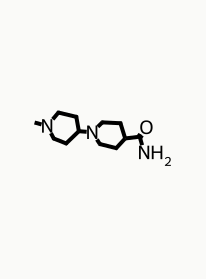 CN1CCC(N2CCC(C(N)=O)CC2)CC1